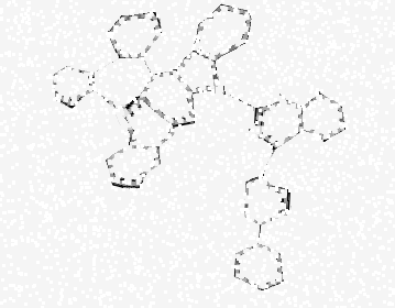 c1ccc(-c2ccc(-c3nc(-n4c5ccccc5c5c6c7c(cc54)c4ccccc4n7-c4ccccc4-c4ccccc4-6)nc4ccccc34)cc2)cc1